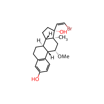 CO[C@H]1C[C@@]2(C)[C@@H](CC[C@@]2(O)/C=C\Br)[C@@H]2CCc3cc(O)ccc3[C@H]21